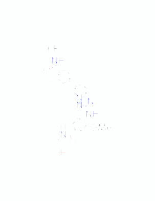 COc1cc(C(=O)NC(C)(C)CO)ccc1Nc1nc2ccc(-c3ccc(C(=O)NCC(F)(F)F)c(F)c3)cn2n1